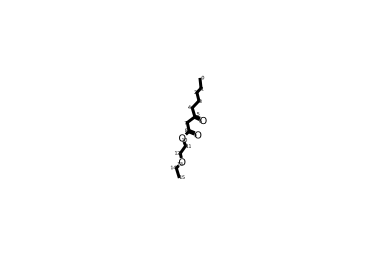 CCCCCC(=O)CC(=O)OCCOCC